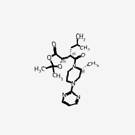 CC(C)C[C@H](C(=O)N1CCN(c2ncccn2)C[C@H]1C)[C@@H]1OC(C)(C)OC1=O